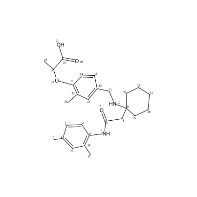 Cc1ccc(NC(=O)CC2(NCc3ccc(OC(C)C(=O)O)c(C)c3)CCCCC2)c(C)c1